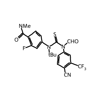 CNC(=O)c1ccc(N(C(=S)N(C=O)c2ccc(C#N)c(C(F)(F)F)c2)C(C)(C)C)cc1F